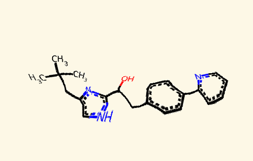 CC(C)(C)Cc1c[nH]c(C(O)Cc2ccc(-c3ccccn3)cc2)n1